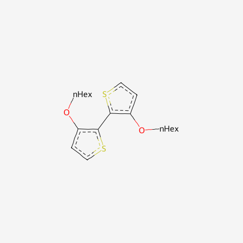 CCCCCCOc1ccsc1-c1sccc1OCCCCCC